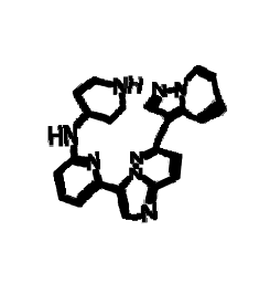 c1cc(NC2CCNCC2)nc(-c2cnc3ccc(-c4cnn5ccccc45)nn23)c1